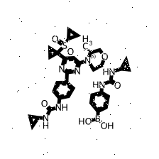 C[C@H]1COCCN1c1cc(C2(S(=O)(=O)C3CC3)CC2)nc(-c2ccc(NC(=O)NC3CC3)cc2)n1.O=C(Nc1ccc(B(O)O)cc1)NC1CC1